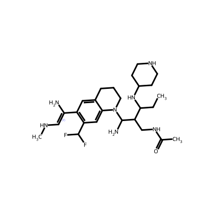 CCC(NC1CCNCC1)C(CNC(C)=O)C(N)N1CCCc2cc(/C(N)=C/NC)c(C(F)F)cc21